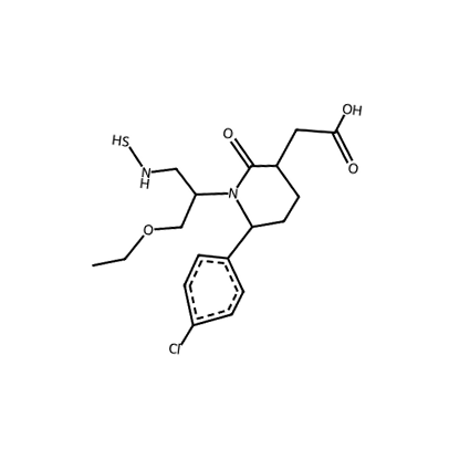 CCOCC(CNS)N1C(=O)C(CC(=O)O)CCC1c1ccc(Cl)cc1